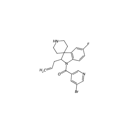 C=CCC1N(C(=O)c2cncc(Br)c2)c2ccc(F)cc2C12CCNCC2